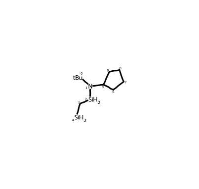 CC(C)(C)N([SiH2]C[SiH3])C1CCCC1